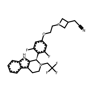 N#CCC1CN(CCOc2cc(F)c([C@@H]3c4[nH]c5ccccc5c4CCN3CC(F)(F)F)c(F)c2)C1